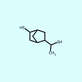 CC(S)C1CC2CC1CC2S